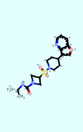 C[C@@H](NC(=O)N1CC(S(=O)(=O)N2CCC(c3coc4cccnc34)CC2)C1)C(F)(F)F